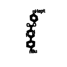 CCCCCCCc1ccc(OC(=O)c2cnc(-c3ccc(CCCC)cc3)cn2)cc1